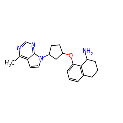 Cc1ncnc2c1ccn2C1CCC(Oc2cccc3c2C(N)CCC3)C1